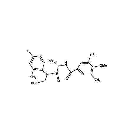 CCC[C@H](NC(=O)c1cc(C)c(OC)c(C)c1)C(=O)N(CC=O)c1ccc(F)cc1C